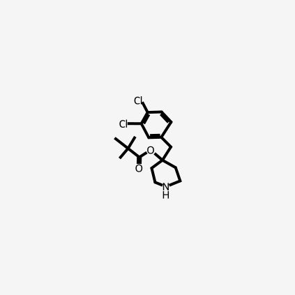 CC(C)(C)C(=O)OC1(Cc2ccc(Cl)c(Cl)c2)CCNCC1